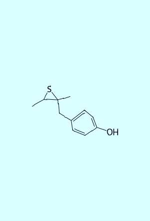 CC1SC1(C)Cc1ccc(O)cc1